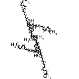 CC/C=C\C/C=C\C/C=C\CCCCCCC(O)CN(CCCC(=O)OCCN1CC(C)N(CCOC(=O)CCCN(CC(O)CCCCCC/C=C\C/C=C\C/C=C\CC)CC(O)CCCCCC/C=C\C/C=C\C/C=C\CC)CC1C)CC(O)CCCCCC/C=C\C/C=C\C/C=C\CC